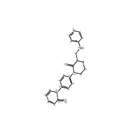 O=C1C(CNc2ccncc2)CCCN1c1ccc(-n2ccccc2=O)cc1